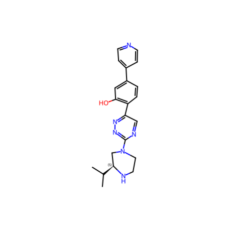 CC(C)[C@H]1CN(c2ncc(-c3ccc(-c4ccncc4)cc3O)nn2)CCN1